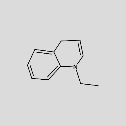 CCN1C=CCc2ccccc21